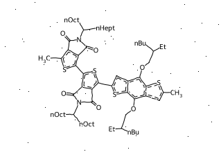 CCCCCCCCC(CCCCCCC)N1C(=O)c2c(C)sc(-c3sc(-c4cc5c(OCC(CC)CCCC)c6sc(C)cc6c(OCC(CC)CCCC)c5s4)c4c3C(=O)N(C(CCCCCCCC)CCCCCCCC)C4=O)c2C1=O